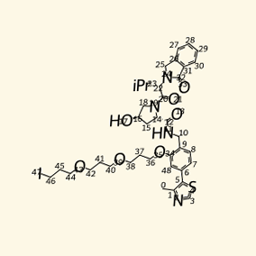 Cc1ncsc1-c1ccc(CNC(=O)[C@@H]2C[C@@H](O)CN2C(=O)[C@H](C(C)C)N2Cc3ccccc3C2=O)c(OCCCOCCCOCCCI)c1